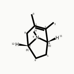 CC1=C(C)[C@@H]2CC[C@H](C1)N2C